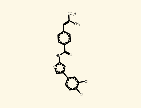 CC(=Cc1ccc(C(=O)Nc2nc(-c3ccc(Cl)c(Cl)c3)cs2)cc1)C(=O)O